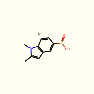 Cc1cc2cc(S(=O)O)ccc2n1C.[Li]